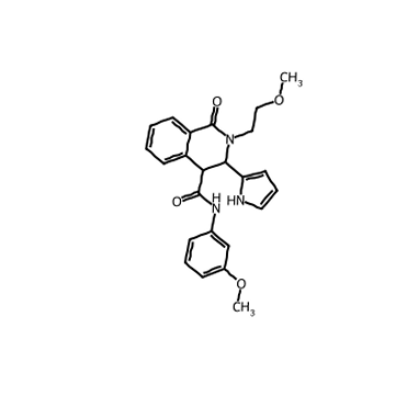 COCCN1C(=O)c2ccccc2C(C(=O)Nc2cccc(OC)c2)C1c1ccc[nH]1